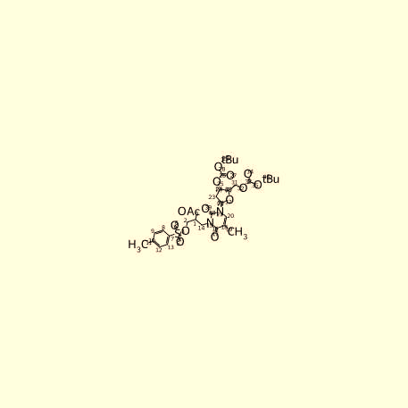 CC(=O)OC(COS(=O)(=O)c1ccc(C)cc1)Cn1c(=O)c(C)cn([C@H]2C[C@H](OC(=O)OC(C)(C)C)[C@@H](COC(=O)OC(C)(C)C)O2)c1=O